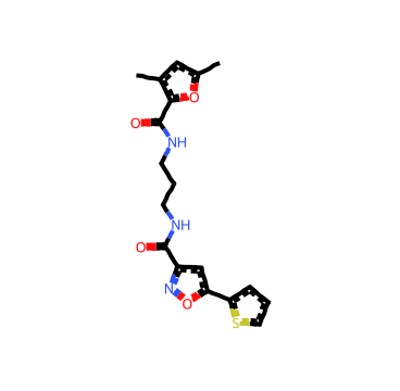 Cc1cc(C)c(C(=O)NCCCNC(=O)c2cc(-c3cccs3)on2)o1